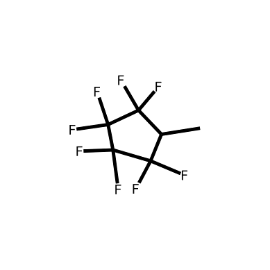 CC1C(F)(F)C(F)(F)C(F)(F)C1(F)F